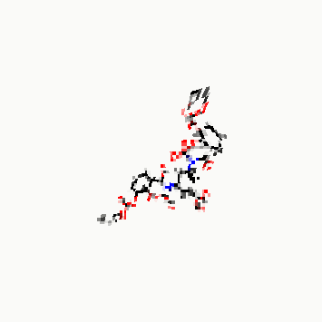 COC(=O)Oc1cccc2c(=O)n(-c3cc(C(=O)O)cc(-n4c(=O)oc5c(OC(=O)OC)cccc5c4=O)c3)c(=O)oc12